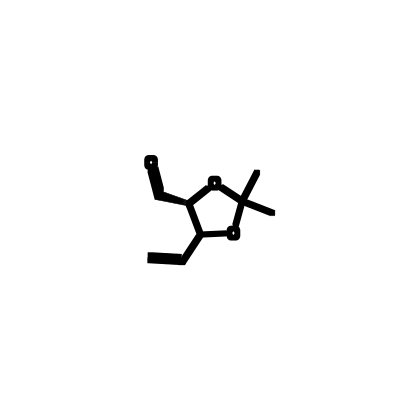 C=CC1OC(C)(C)O[C@@H]1C=O